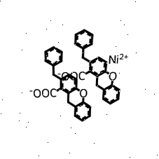 O=C([O-])c1c(Cc2ccccc2)ccc2c1Cc1ccccc1O2.O=C([O-])c1c(Cc2ccccc2)ccc2c1Cc1ccccc1O2.[Ni+2]